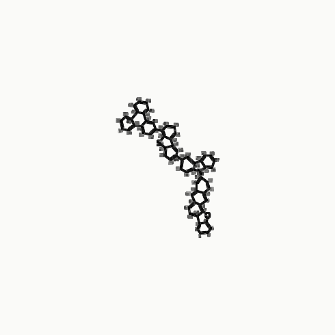 c1ccc2c(c1)oc1c3cc4ccc(-n5c6ccccc6c6cc(-c7ccc8sc9c(-c%10ccc%11c%12ccccc%12c%12ccccc%12c%11c%10)cccc9c8c7)ccc65)cc4cc3ccc21